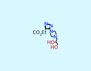 CCOC(=O)c1cncnc1N1CCN(CC(O)CO)CC1